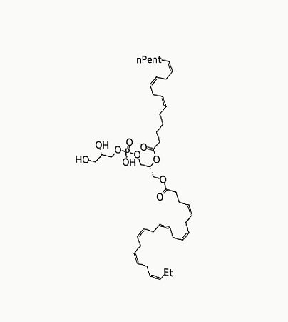 CC/C=C\C/C=C\C/C=C\C/C=C\C/C=C\C/C=C\CCC(=O)OC[C@H](COP(=O)(O)OC[C@@H](O)CO)OC(=O)CCCC/C=C\C/C=C\C/C=C\CCCCC